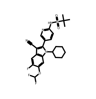 CC(C)(C)S(=O)(=O)Nc1ccc(-c2c(C#N)c3cc(F)c(OC(F)F)cc3n2C2CCCCC2)cn1